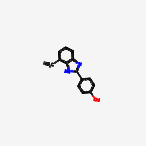 O=C(O)c1cccc2nc(-c3ccc(O)cc3)[nH]c12